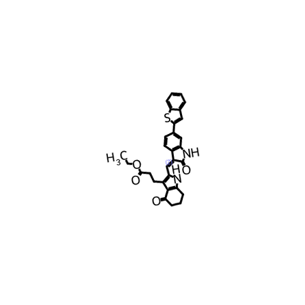 CCOC(=O)CCc1c(/C=C2\C(=O)Nc3cc(-c4cc5ccccc5s4)ccc32)[nH]c2c1C(=O)CCC2